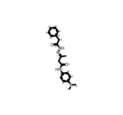 C/C(CC(=O)Nc1ccc(N(C)C)cc1)=N\NC(=O)Cc1ccccc1